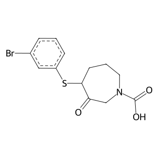 O=C1CN(C(=O)O)CCCC1Sc1cccc(Br)c1